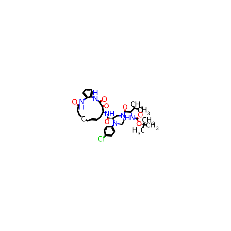 CC(C)[C@@H](NC(=O)OC(C)(C)C)C(=O)N1CCN(c2ccc(Cl)cc2)[C@@H](C(=O)N[C@@H]2C/C=C/CCCCC(=O)Nc3ccccc3NC(=O)C2=O)C1